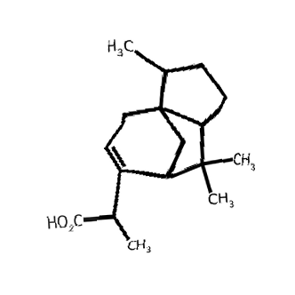 CC(C(=O)O)C1=CCC23CC1C(C)(C)C2CCC3C